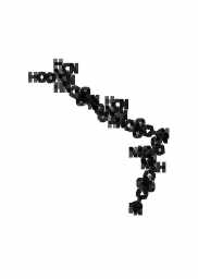 Cn1cc(-c2ccc(S(=O)(=O)N3CCC(Nc4ncc(C#N)c(N[C@@H]5CCC[C@H]5Oc5c(-c6ccc(S(=O)(=O)N7CCC(Nc8ncc(C#N)c(N[C@H]9CCC[C@H]9OCn9cc(S(=O)(=O)N%10CCC(Nc%11ncc(C#N)c(N[C@H]%12CC[C@H](O)C%12)n%11)CC%10)cn9)n8)CC7)cc6)cnn5C)n4)CC3)cc2)cn1